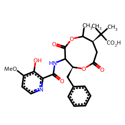 COc1ccnc(C(=O)NC2C(=O)OC(C)[C@@H](C(C)(C)C(=O)O)CC(=O)O[C@H]2Cc2ccccc2)c1O